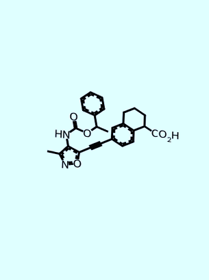 Cc1noc(C#Cc2ccc3c(c2)CCCC3C(=O)O)c1NC(=O)OC(C)c1ccccc1